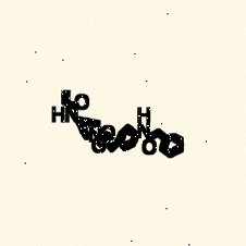 C=CC(=O)NC1C2CN(S(=O)(=O)Cc3ccc(NC(=O)Cc4ccccc4)cc3)CC21